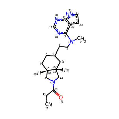 CN(CCC1CC[C@H]2CN(C(=O)CC#N)C[C@H]2C1)c1ncnc2[nH]ccc12